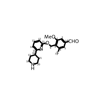 COc1cc(C=O)cc(F)c1COc1cccc(C2CCNCC2)n1